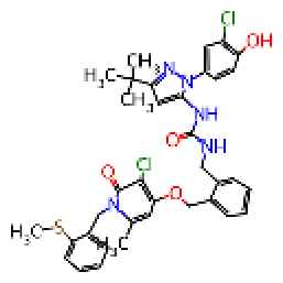 CSc1ccccc1Cn1c(C)cc(OCc2ccccc2CNC(=O)Nc2cc(C(C)(C)C)nn2-c2ccc(O)c(Cl)c2)c(Cl)c1=O